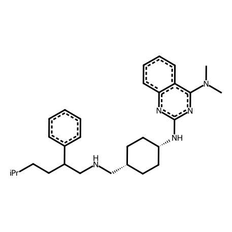 CC(C)CCC(CNC[C@H]1CC[C@@H](Nc2nc(N(C)C)c3ccccc3n2)CC1)c1ccccc1